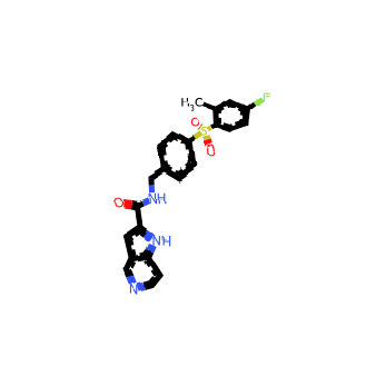 Cc1cc(F)ccc1S(=O)(=O)c1ccc(CNC(=O)c2cc3cnccc3[nH]2)cc1